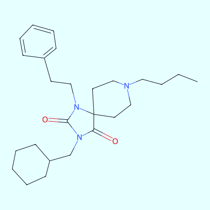 CCCCN1CCC2(CC1)C(=O)N(CC1CCCCC1)C(=O)N2CCc1ccccc1